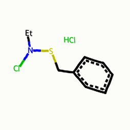 CCN(Cl)SCc1ccccc1.Cl